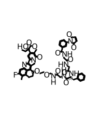 CC[C@@]1(O)C(=O)OCc2c1cc1n(c2=O)Cc2c-1nc1cc(F)c(C)c3c1c2[C@H](OCCOCNC(=O)CNC(=O)[C@H](Cc1ccccc1)NC(=O)CNC(=O)CNC(=O)c1cccc(N2C(=O)C=CC2=O)c1)CC3